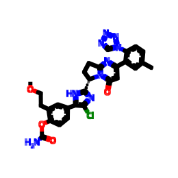 COCCc1cc(-c2[nH]c([C@@H]3CCc4nc(-c5cc(C)ccc5-n5cnnn5)cc(=O)n43)nc2Cl)ccc1OC(N)=O